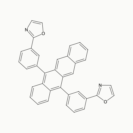 c1cc(-c2ncco2)cc(-c2c3ccccc3c(-c3cccc(-c4ncco4)c3)c3cc4ccccc4cc23)c1